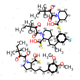 CCC(C)(C)C(=O)C(=O)N1CCC(CCCc2ccc(OC)c(OC)c2)C1C(O)=S.CCC(C)(C)C(=O)C(=O)N1CCCC(C[C@H](C)c2cccc(F)c2)C1C(O)=S.CCC(C)(C)C(=O)C(=O)N1CCCCC1C(O)=S